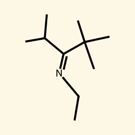 CC/N=C(/C(C)C)C(C)(C)C